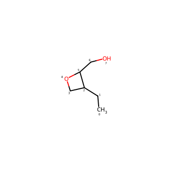 CCC1COC1CO